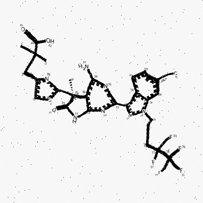 CC(C)(Cc1csc([C@]2(C)C(=O)Nc3nc(-c4nn(CCC(F)(F)C(F)(F)F)c5cc(Cl)ccc45)nc(N)c32)n1)C(=O)O